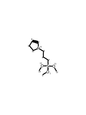 CO[Si](CCCN1C#CCC1)(OC)OC